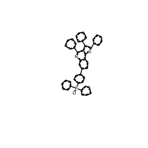 O=P(c1ccccc1)(c1ccccc1)c1ccc(-c2ccc3c(c2)nc(-c2ccccc2)c2c(-c4ccccc4)c(-c4ccccc4)sc23)cc1